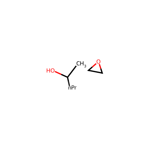 C1CO1.CCCC(C)O